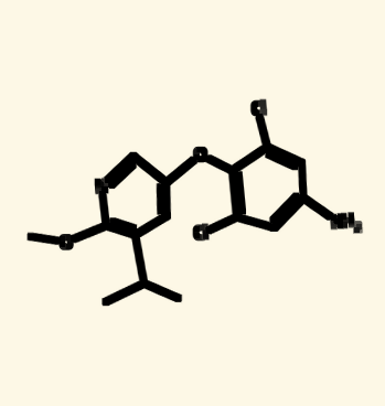 COc1ncc(Oc2c(Cl)cc(N)cc2Cl)cc1C(C)C